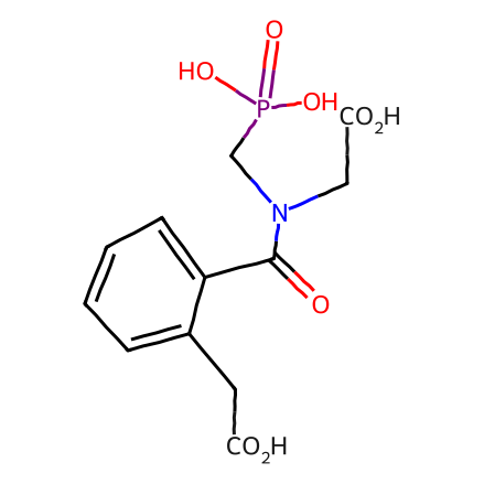 O=C(O)Cc1ccccc1C(=O)N(CC(=O)O)CP(=O)(O)O